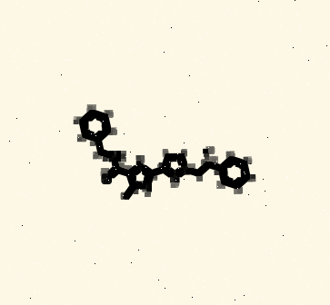 Cc1nc(-c2ccn(C[C@H](C)c3ccccc3)n2)sc1C(=O)NCc1ccccc1